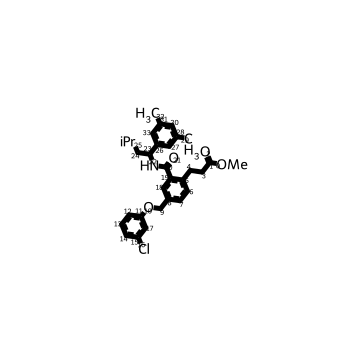 COC(=O)CCc1ccc(COc2cccc(Cl)c2)cc1C(=O)NC(CC(C)C)c1cc(C)cc(C)c1